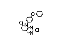 O=C1CCc2cnc(Cl)nc2N1c1ccc(Oc2ccccc2)cc1